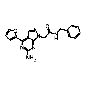 Nc1nc(-c2ccco2)c2cnn(CC(=O)NCc3ccccc3)c2n1